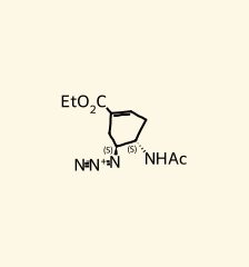 CCOC(=O)C1=CC[C@H](NC(C)=O)[C@@H](N=[N+]=[N-])C1